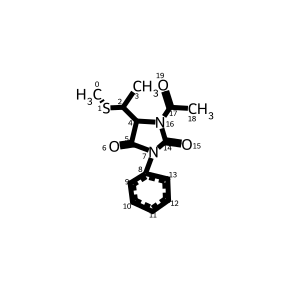 CSC(C)C1C(=O)N(c2ccccc2)C(=O)N1C(C)=O